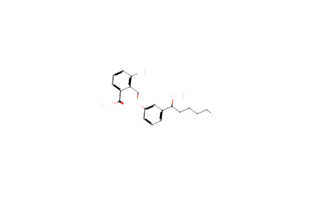 CCCCCC(O)c1cccc(OCc2c(C)cccc2C(=O)O)c1